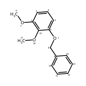 COc1cccc(O[CH]c2ccccc2)c1OC